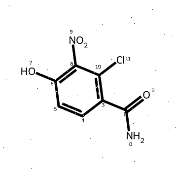 NC(=O)c1ccc(O)c([N+](=O)[O-])c1Cl